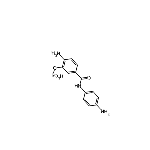 Nc1ccc(NC(=O)c2ccc(N)c(OS(=O)(=O)O)c2)cc1